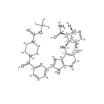 CC(C)(C)OC(=O)N1CCN(C(=O)c2cccc(-c3nc4c(N[C@H]5[C@@H](C(N)=O)[C@@H]6C=C[C@H]5C6)c(Cl)cnc4[nH]3)c2)CC1